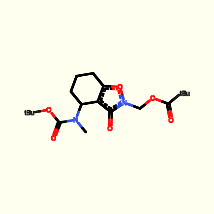 CN(C(=O)OC(C)(C)C)C1CCCc2on(COC(=O)C(C)(C)C)c(=O)c21